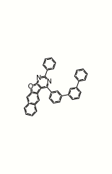 c1ccc(-c2cccc(-c3cccc(-c4nc(-c5ccccc5)nc5oc6cc7ccccc7cc6c45)c3)c2)cc1